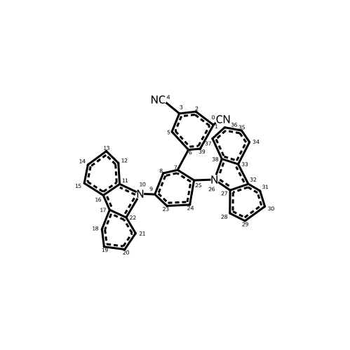 N#Cc1cc(C#N)cc(-c2cc(-n3c4ccccc4c4ccccc43)ccc2-n2c3ccccc3c3ccccc32)c1